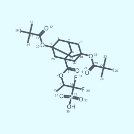 CC(OC(=O)C12CC3CC(OC(=O)C(C)(C)I)(CC(OC(=O)C(C)(C)I)(C3)C1)C2)C(F)(F)S(=O)(=O)O